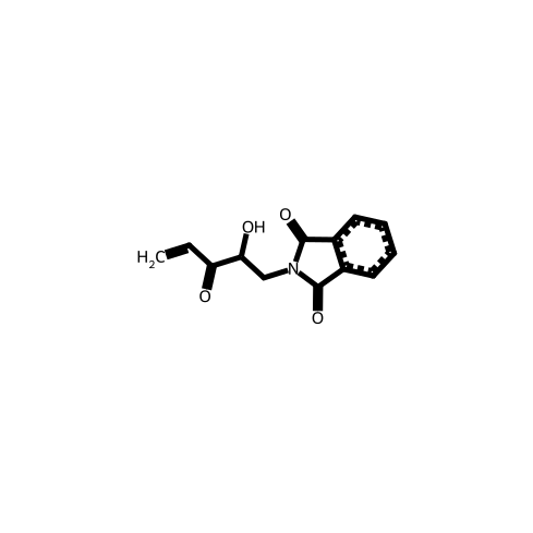 C=CC(=O)C(O)CN1C(=O)c2ccccc2C1=O